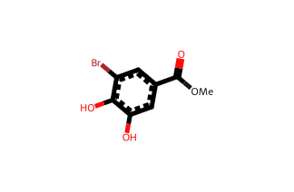 COC(=O)c1cc(O)c(O)c(Br)c1